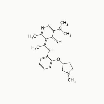 CC1=NN=C(N(C)C)C(=N)/C1=C(/C)Nc1ccccc1OC1CCN(C)C1